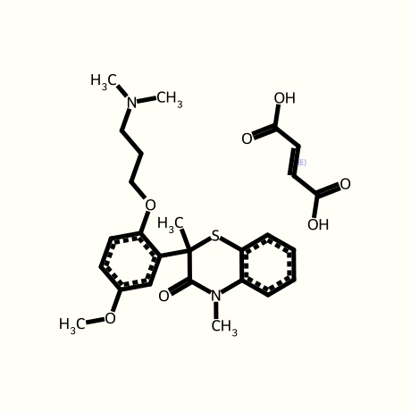 COc1ccc(OCCCN(C)C)c(C2(C)Sc3ccccc3N(C)C2=O)c1.O=C(O)/C=C/C(=O)O